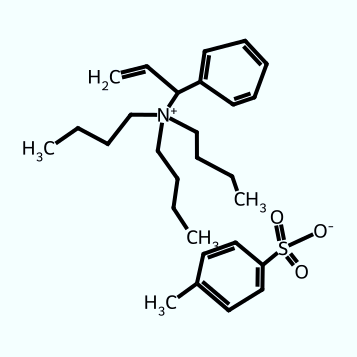 C=CC(c1ccccc1)[N+](CCCC)(CCCC)CCCC.Cc1ccc(S(=O)(=O)[O-])cc1